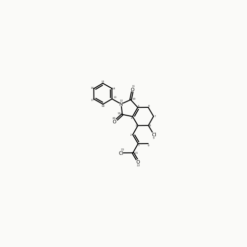 CC(=CC1C2=C(CCC1Cl)C(=O)N(c1ccccc1)C2=O)C(=O)Cl